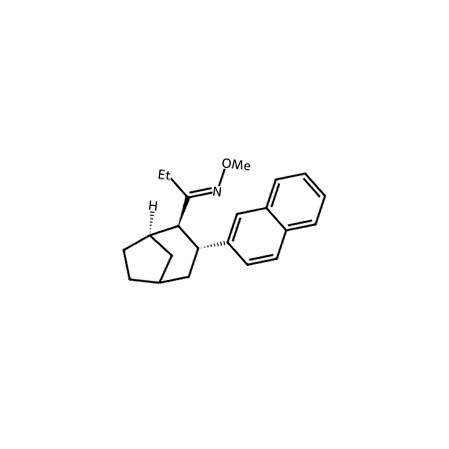 CCC(=NOC)[C@@H]1[C@@H]2CCC(C2)C[C@H]1c1ccc2ccccc2c1